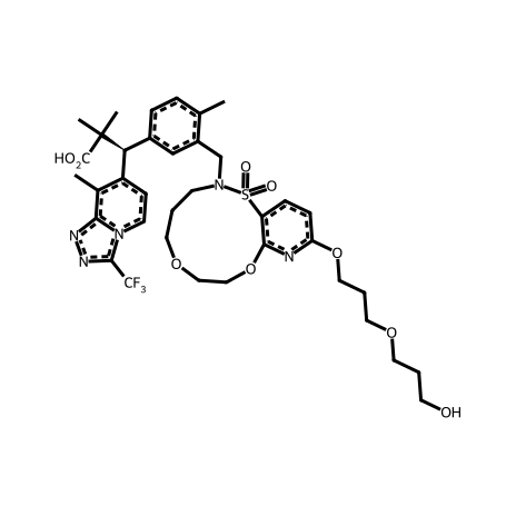 Cc1ccc([C@@H](c2ccn3c(C(F)(F)F)nnc3c2C)C(C)(C)C(=O)O)cc1CN1CCCOCCOc2nc(OCCCOCCCO)ccc2S1(=O)=O